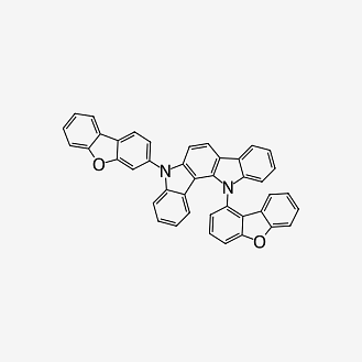 c1ccc2c(c1)oc1cc(-n3c4ccccc4c4c3ccc3c5ccccc5n(-c5cccc6oc7ccccc7c56)c34)ccc12